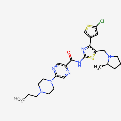 C[C@@H]1CCCN1Cc1sc(NC(=O)c2cnc(N3CCN(CCC(=O)O)CC3)cn2)nc1-c1csc(Cl)c1